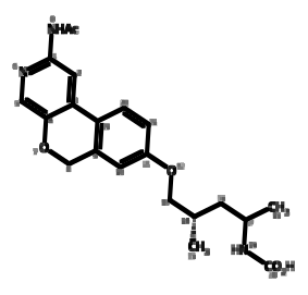 CC(=O)Nc1cc2c(cn1)OCc1cc(OC[C@@H](C)CC(C)NC(=O)O)ccc1-2